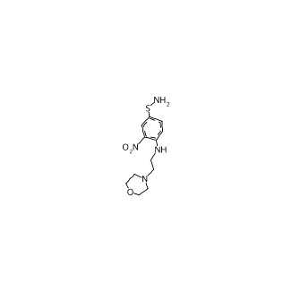 NSc1ccc(NCCN2CCOCC2)c([N+](=O)[O-])c1